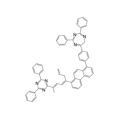 C=CC/C(=C\C=C(/C)c1nc(-c2ccccc2)nc(-c2ccccc2)n1)c1cccc2c1ccc1c(-c3ccc(C4=NC(c5ccccc5)=NC(c5ccccc5)=NC4)cc3)cccc12